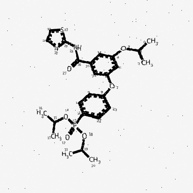 CC(C)Oc1cc(Oc2ccc(P(=O)(OC(C)C)OC(C)C)cc2)cc(C(=O)Nc2nccs2)c1